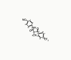 N#Cc1ccc(NC(=O)C(C#N)C(=O)c2ccc(C(F)(F)F)cc2)cc1